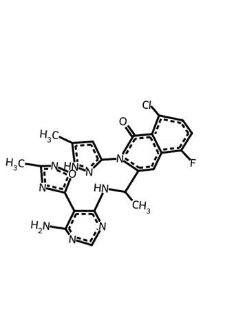 Cc1noc(-c2c(N)ncnc2NC(C)c2cc3c(F)ccc(Cl)c3c(=O)n2-c2cc(C)[nH]n2)n1